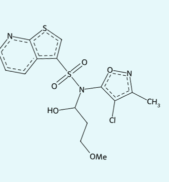 COCCC(O)N(c1onc(C)c1Cl)S(=O)(=O)c1csc2ncccc12